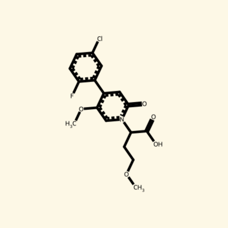 COCCC(C(=O)O)n1cc(OC)c(-c2cc(Cl)ccc2F)cc1=O